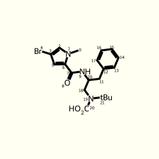 Cn1cc(Br)cc1C(=O)NC(Cc1ccccc1)CN(C(=O)O)C(C)(C)C